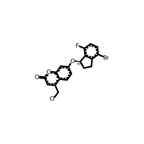 O=c1cc(CCl)c2ccc(O[C@@H]3CCc4c(Br)ccc(F)c43)cc2o1